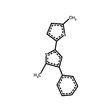 Cc1ccc(-c2cc(-c3ccccc3)c(C)s2)s1